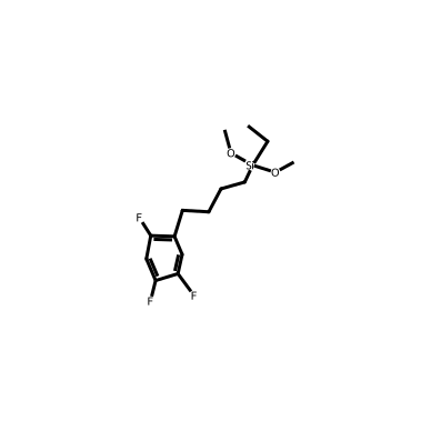 CC[Si](CCCCc1cc(F)c(F)cc1F)(OC)OC